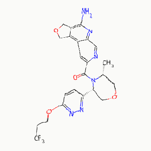 C[C@@H]1COC[C@H](c2ccc(OCCC(F)(F)F)nn2)N1C(=O)c1cc2c3c(c(N)nc2cn1)COC3